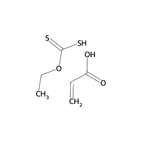 C=CC(=O)O.CCOC(=S)S